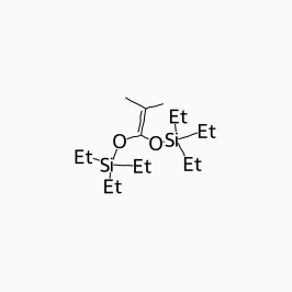 CC[Si](CC)(CC)OC(O[Si](CC)(CC)CC)=C(C)C